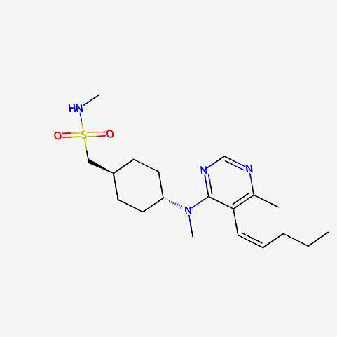 CCC/C=C\c1c(C)ncnc1N(C)[C@H]1CC[C@H](CS(=O)(=O)NC)CC1